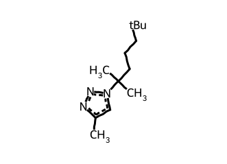 Cc1cn(C(C)(C)CCCC(C)(C)C)nn1